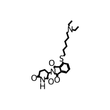 CCN(CC)CCCCCCSc1cccc2c1C(=O)N(C1CCC(=O)NC1=O)C2=O